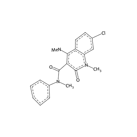 CNc1c(C(=O)N(C)c2ccccc2)c(=O)n(C)c2cc(Cl)ccc12